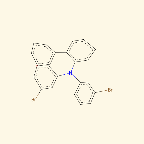 Brc1cccc(N(c2cccc(Br)c2)c2ccccc2-c2ccccc2)c1